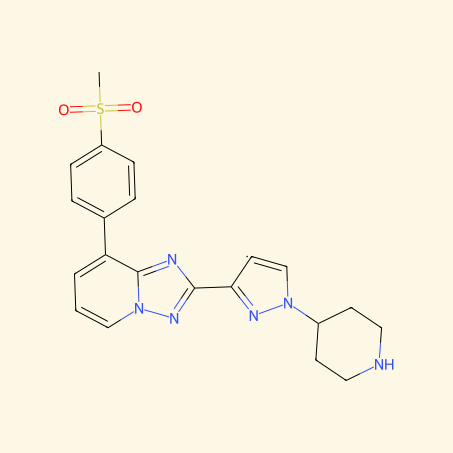 CS(=O)(=O)c1ccc(-c2cccn3nc(-c4[c]cn(C5CCNCC5)n4)nc23)cc1